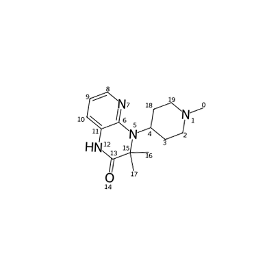 CN1CCC(N2c3ncccc3NC(=O)C2(C)C)CC1